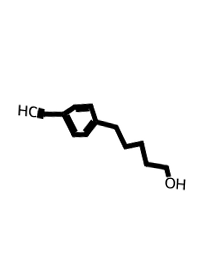 C#Cc1ccc(CCCCCO)cc1